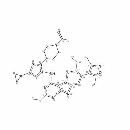 CCc1nc(Nc2cc(C3CC3)nn2C2CCN(C(C)=O)CC2)c2c(n1)[nH]c1cc(-c3c(C)noc3C)c(OC)cc12